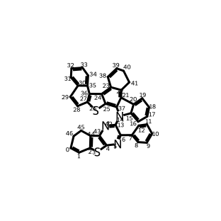 C1=Cc2sc3nc(-c4ccccc4)c(-n4c5ccccc5c5c6c(c7c(sc8ccc9ccccc9c87)c54)C=CCC6)nc3c2CC1